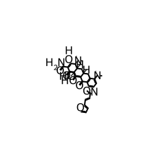 CN(C)c1cc2nc(C=Cc3ccco3)oc2c2c1C[C@H]1C[C@H]3[C@H](N(C)C)C(O)=C(C(N)=O)C(=O)[C@@]3(O)C(O)=C1C2=O